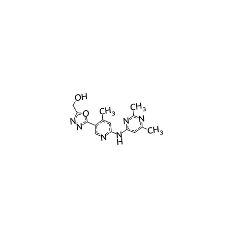 Cc1cc(Nc2cc(C)c(-c3nnc(CO)o3)cn2)nc(C)n1